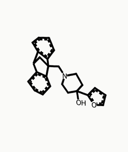 OC1(c2ccco2)CCN(CC23CC(c4ccccc42)c2ccccc23)CC1